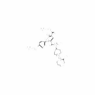 COC(=O)c1cc(C(=O)N(C)C2CCN(N3CCOCC3=O)CC2)n(-c2ccc(OC)cc2)n1